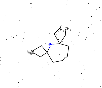 CCC1(CC)CCCCC(CC)(CC)N1